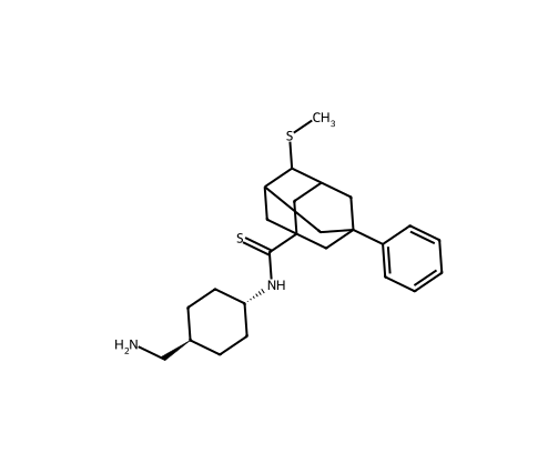 CSC1C2CC3(C(=S)N[C@H]4CC[C@H](CN)CC4)CC1CC(c1ccccc1)(C2)C3